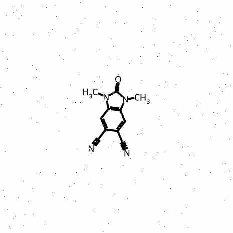 Cn1c(=O)n(C)c2cc(C#N)c(C#N)cc21